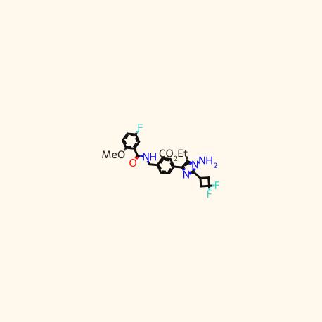 CCOC(=O)c1c(-c2ccc(CNC(=O)c3cc(F)ccc3OC)cc2)nc(C2CC(F)(F)C2)n1N